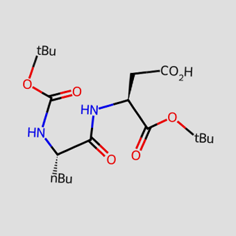 CCCC[C@H](NC(=O)OC(C)(C)C)C(=O)N[C@@H](CC(=O)O)C(=O)OC(C)(C)C